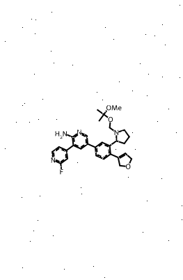 COC(C)(C)OCN1CCCC1c1cc(-c2cnc(N)c(-c3ccnc(F)c3)c2)ccc1C1=CCOC1